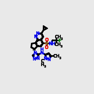 Cc1cc(Nc2nncn2[C@@H]2CCc3c2cc(S(=O)(=O)NCC(C)(C)F)c2cc(C4CC4)nnc32)n(C)n1